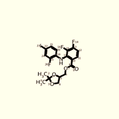 CC1(C)OCC(COC(=O)c2ccc(F)c(F)c2Nc2ccc(I)cc2F)O1